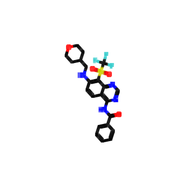 O=C(Nc1ncnc2c(S(=O)(=O)C(F)(F)F)c(NCC3CCOCC3)ccc12)c1ccccc1